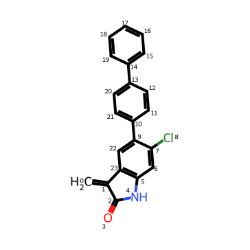 C=C1C(=O)Nc2cc(Cl)c(-c3ccc(-c4ccccc4)cc3)cc21